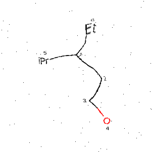 CCC(CC[O])C(C)C